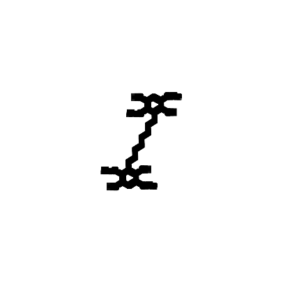 COc1cc(O)c(OC)c(CCCCCCCCc2c(O)c(OC)cc(O)c2OC)c1O